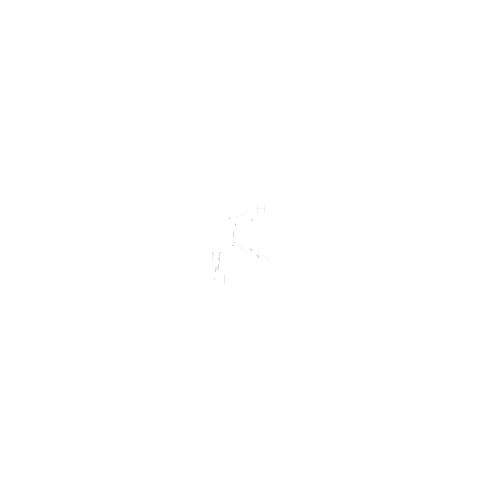 C=NC(N=C)=[N+]=C.[Br-]